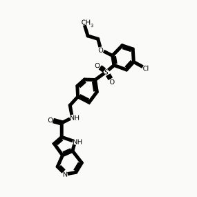 CCCOc1ccc(Cl)cc1S(=O)(=O)c1ccc(CNC(=O)c2cc3cnccc3[nH]2)cc1